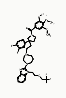 COc1cc(C(=O)N2CCC(CCN3CCCN(c4nc5ccccc5n4CCOCC(F)(F)F)CC3)(c3ccc(F)c(F)c3)C2)cc(OC)c1OC